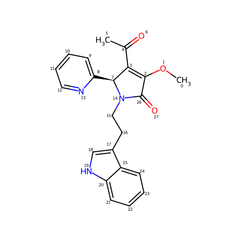 COC1=C(C(C)=O)[C@H](c2ccccn2)N(CCc2c[nH]c3ccccc23)C1=O